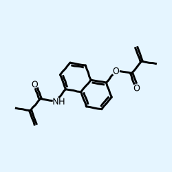 C=C(C)C(=O)Nc1cccc2c(OC(=O)C(=C)C)cccc12